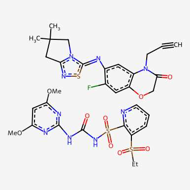 C#CCN1C(=O)COc2cc(F)c(/N=c3\snc4n3CC(C)(C)C4)cc21.CCS(=O)(=O)c1cccnc1S(=O)(=O)NC(=O)Nc1nc(OC)cc(OC)n1